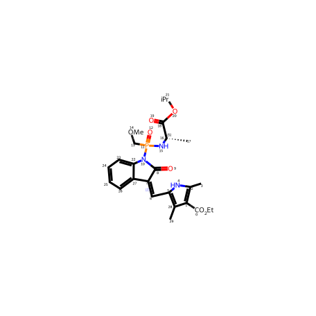 CCOC(=O)c1c(C)[nH]c(/C=C2\C(=O)N(P(=O)(COC)N[C@@H](C)C(=O)OC(C)C)c3ccccc32)c1C